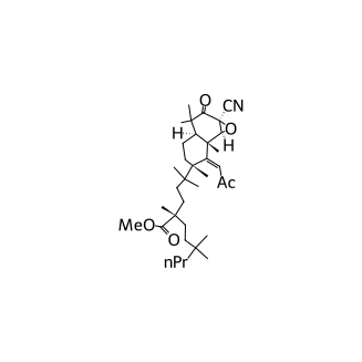 CCCC(C)(C)CC[C@@](C)(CCC(C)(C)[C@]1(C)CC[C@H]2C(C)(C)C(=O)[C@@]3(C#N)O[C@H]3[C@]2(C)/C1=C/C(C)=O)C(=O)OC